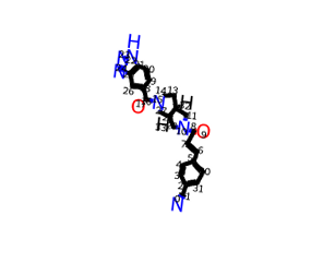 N#Cc1ccc(C=CC(=O)N2C[C@H]3CCN(C(=O)c4ccc5[nH]nnc5c4)C[C@@H]3C2)cc1